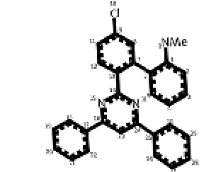 CNc1ccccc1-c1cc(Cl)ccc1-c1nc(-c2ccccc2)cc(-c2ccccc2)n1